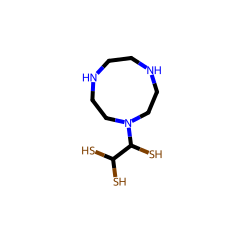 SC(S)C(S)N1CCNCCNCC1